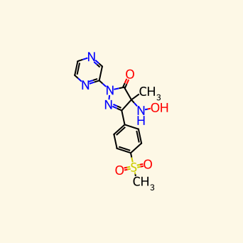 CC1(NO)C(=O)N(c2cnccn2)N=C1c1ccc(S(C)(=O)=O)cc1